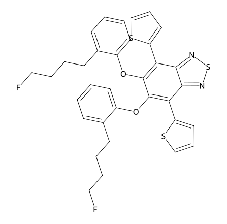 FCCCCc1ccccc1Oc1c(Oc2ccccc2CCCCF)c(-c2cccs2)c2nsnc2c1-c1cccs1